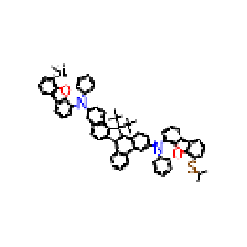 CC(C)Sc1cccc2c1oc1c(N(c3ccccc3)c3ccc4c5c(c6ccccc6c4c3)-c3ccc4cc(N(c6ccccc6)c6cccc7c6oc6c([Si](C)(C)C)cccc67)ccc4c3C5(C(C)(C)C)C(C)(C)C)cccc12